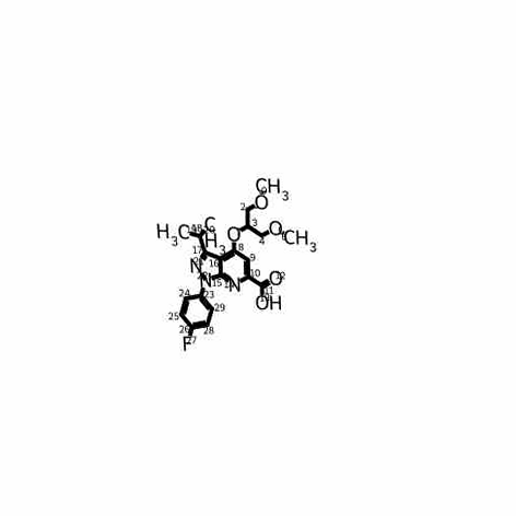 COCC(COC)Oc1cc(C(=O)O)nc2c1c(C(C)C)nn2-c1ccc(F)cc1